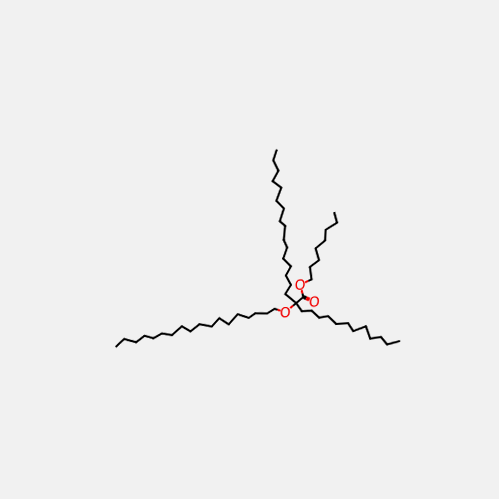 CCCCCCCCCCCCCCCCCCOC(CCCCCCCCCCCC)(CCCCCCCCCCCCCCCC)C(=O)OCCCCCCCC